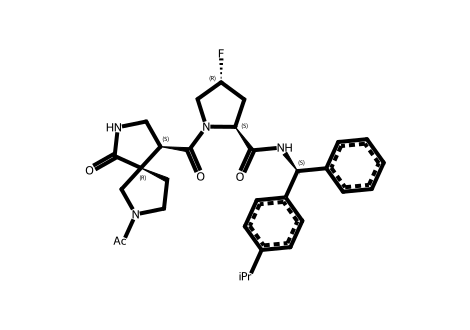 CC(=O)N1CC[C@@]2(C1)C(=O)NC[C@H]2C(=O)N1C[C@H](F)C[C@H]1C(=O)N[C@@H](c1ccccc1)c1ccc(C(C)C)cc1